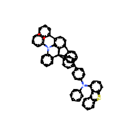 c1ccc(-c2ccc3c4c2N(c2ccccc2)c2ccccc2C4(c2ccccc2)c2cc(-c4ccc(N(c5ccccc5)c5cccc6sc7ccccc7c56)cc4)ccc2-3)cc1